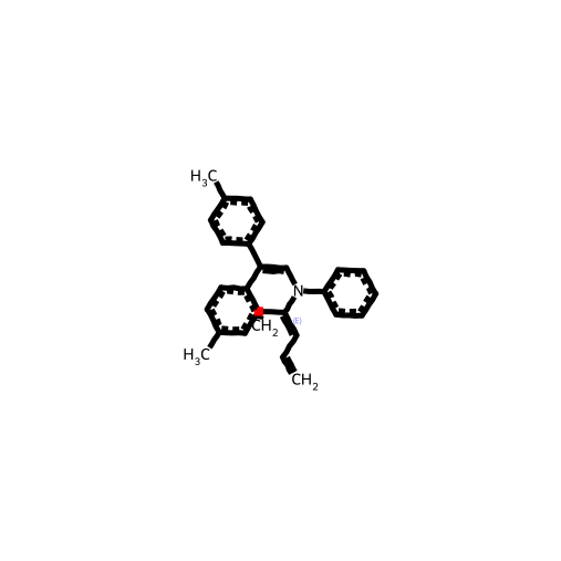 C=C/C=C(\C=C)N(C=C(c1ccc(C)cc1)c1ccc(C)cc1)c1ccccc1